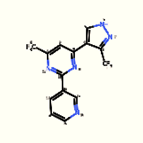 FC(F)(F)c1cc(-c2c[nH]nc2C(F)(F)F)nc(-c2cccnc2)n1